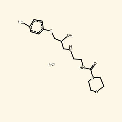 Cl.O=C(NCCNCC(O)COc1ccc(O)cc1)N1CCOCC1